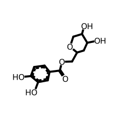 O=C(OCC1CC(O)C(O)CO1)c1ccc(O)c(O)c1